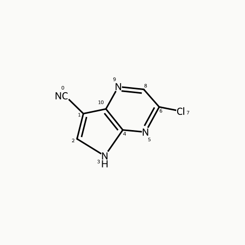 N#Cc1c[nH]c2nc(Cl)cnc12